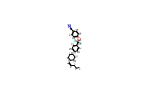 CCC/C=C\[C@H]1CC[C@H](c2ccc(C(F)(F)Oc3ccc(C#N)cc3)cc2)CC1